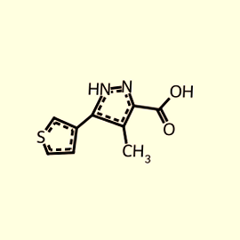 Cc1c(C(=O)O)n[nH]c1-c1ccsc1